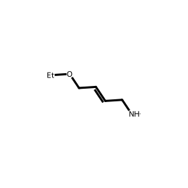 CCOC/C=C/C[NH]